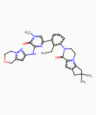 CC(=O)OCc1c(-c2cn(C)c(=O)c(Nc3cc4n(n3)CCOC4)n2)cccc1N1CCn2c(cc3c2CC(C)(C)C3)C1=O